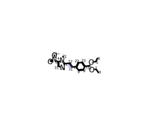 CCOC(OCC)c1ccc(/C=C/c2ncc([N+](=O)[O-])n2C)cc1